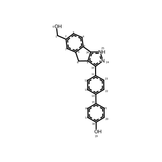 OCc1ccc2c(c1)Cc1c(-c3ccc(-c4ccc(O)cc4)cc3)n[nH]c1-2